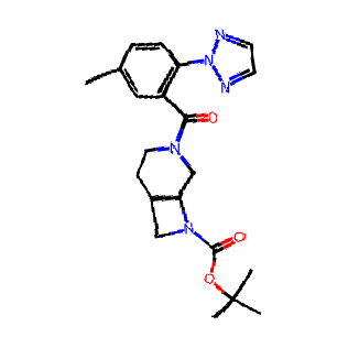 Cc1ccc(-n2nccn2)c(C(=O)N2CCC3CN(C(=O)OC(C)(C)C)C3C2)c1